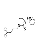 CCN(C(=S)SCCCC(=O)OC)c1ccc[nH]1